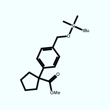 COC(=O)C1(c2ccc(CO[Si](C)(C)C(C)(C)C)cc2)CCCC1